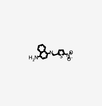 Nc1ccc(/N=C/c2ccc([N+](=O)[O-])s2)c2ccccc12